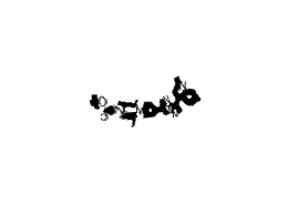 Cc1cc(-c2cnn3cc(-c4ccc(N5[C@H](C)CN(C(=O)OC(C)(C)C)C[C@@H]5C)cc4)cnc23)c2ccccc2n1